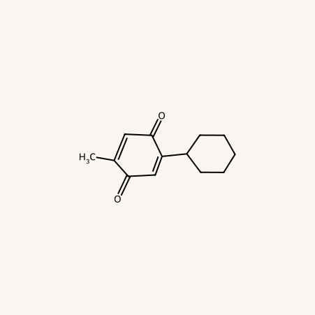 CC1=CC(=O)C(C2CCCCC2)=CC1=O